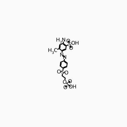 Cc1cc(N)c(S(=O)(=O)O)cc1N=Nc1ccc(S(=O)(=O)CCOS(=O)(=O)O)cc1